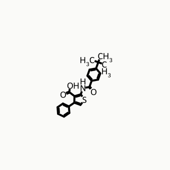 CC(C)(C)c1ccc(C(=O)Nc2scc(-c3ccccc3)c2C(=O)O)cc1